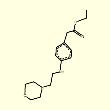 CCOC(=O)Cc1ccc(NCCN2CCOCC2)cc1